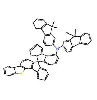 CC1(C)C2=C(CCC=C2)c2ccc(N(c3ccc4c(c3)C(C)(C)c3ccccc3-4)c3cccc4c3-c3ccccc3C43c4ccccc4-c4c3ccc3c4sc4ccccc43)cc21